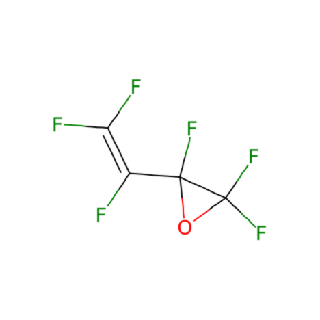 FC(F)=C(F)C1(F)OC1(F)F